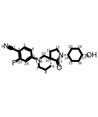 N#Cc1ccc(N2CCC[C@@]3(CCN([C@H]4CC[C@@H](O)CC4)C3=O)C2)cc1F